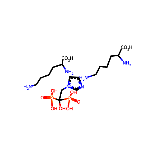 NCCCCC(N)C(=O)O.NCCCCC(N)C(=O)O.O=P(O)(O)C(O)(Cn1ccnc1)P(=O)(O)O